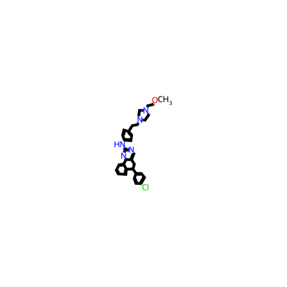 COCCN1CCN(CCc2ccc(Nc3ncc4c(n3)-c3ccccc3C(c3ccc(Cl)cc3)C4)cc2)CC1